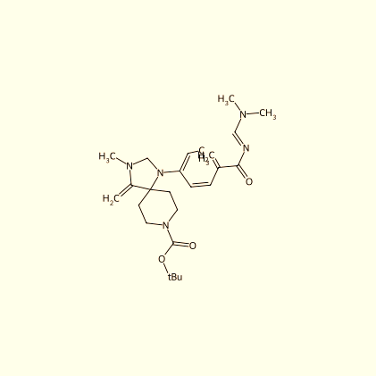 C=C(/C=C\C(=C/C)N1CN(C)C(=C)C12CCN(C(=O)OC(C)(C)C)CC2)C(=O)/N=C/N(C)C